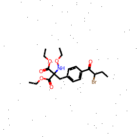 CCONC(Cc1ccc(C(=O)C(Br)CC)cc1)(C(=O)OCC)C(=O)OCC